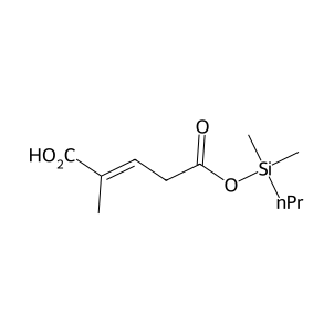 CCC[Si](C)(C)OC(=O)CC=C(C)C(=O)O